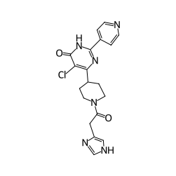 O=C(Cc1c[nH]cn1)N1CCC(c2nc(-c3ccncc3)[nH]c(=O)c2Cl)CC1